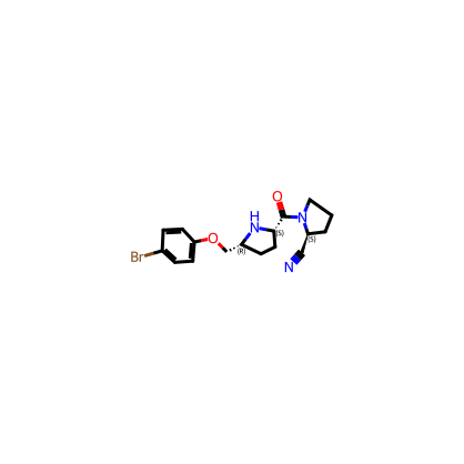 N#C[C@@H]1CCCN1C(=O)[C@@H]1CC[C@H](COc2ccc(Br)cc2)N1